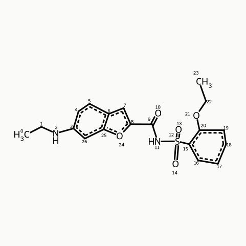 CCNc1ccc2cc(C(=O)NS(=O)(=O)c3ccccc3OCC)oc2c1